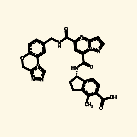 Cc1c(C(=O)O)ccc2c1CC[C@@H]2NC(=O)c1cc(C(=O)NCc2ccc3c(c2)-n2cnnc2CO3)nc2ccnn12